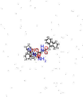 NC(=O)c1cccc(C2CC3CCC(C2)N3CCN(CC2CCCCC2)C(=O)C(O)CNC(=O)OCC2c3ccccc3-c3ccccc32)c1